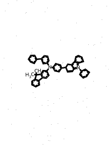 CC1(C)c2ccccc2-c2ccc(N(c3ccc(C4C=Cc5c(c6ccccc6n5-c5ccccc5)C4)cc3)c3cccc(-c4ccccc4)c3)cc21